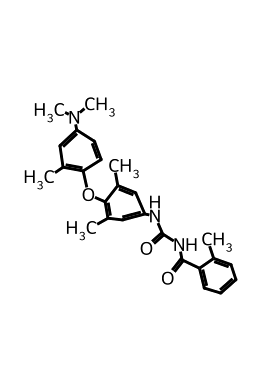 Cc1cc(N(C)C)ccc1Oc1c(C)cc(NC(=O)NC(=O)c2ccccc2C)cc1C